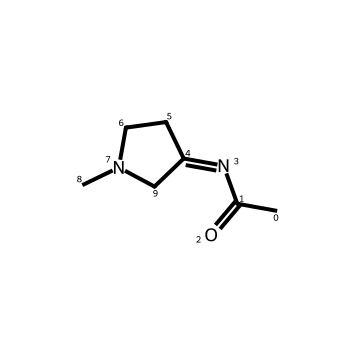 CC(=O)/N=C1/CCN(C)C1